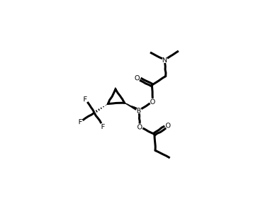 CCC(=O)OB(OC(=O)CN(C)C)[C@@H]1C[C@H]1C(F)(F)F